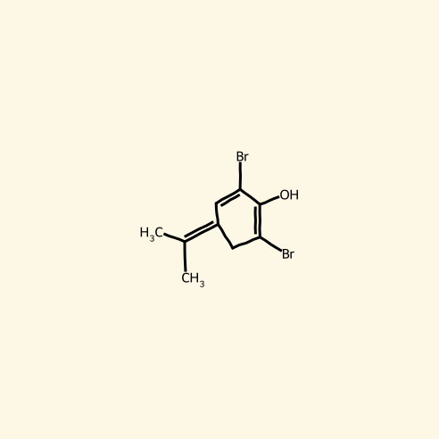 CC(C)=C1C=C(Br)C(O)=C(Br)C1